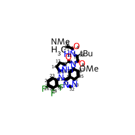 CN[C@@H](C)C(=O)N[C@H](C(=O)N(C(=O)[C@@H]1CCCN1)c1cc2c(Nc3ccc(F)c(F)c3F)ncnc2cc1OC)C(C)(C)C